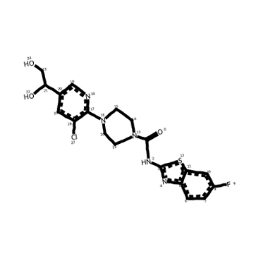 O=C(Nc1nc2ccc(F)cc2s1)N1CCN(c2ncc(C(O)CO)cc2Cl)CC1